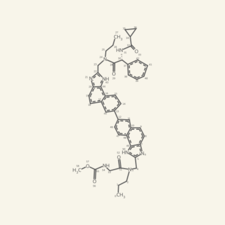 CCCN(Cc1nc2ccc3cc(-c4ccc5c(ccc6nc(CN(CCC)C(=O)[C@H](NC(=O)C7CC7)c7ccccc7)[nH]c65)c4)ccc3c2[nH]1)C(=O)CNC(=O)OC